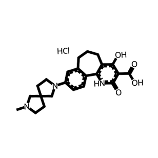 CN1CCC2(CCN(c3ccc4c(c3)CCCc3c-4[nH]c(=O)c(C(=O)O)c3O)C2)C1.Cl